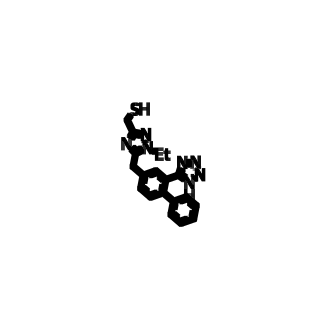 CCn1nc(CS)nc1Cc1ccc(-c2ccccc2)c(-c2nnn[nH]2)c1